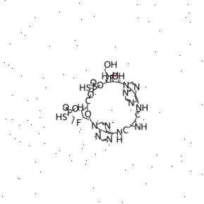 CC[P@](=O)(S)O[C@@H]1[C@H]2CO[P@@](=O)(S)O[C@@H]3C(CO)O[C@H]([C@@H]3F)n3cnc4c(ncnc43)NCC3NC3CNc3ncnc4c3ncn4C(O2)[C@@H]1F